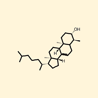 CC(C)CCCC(C)[C@H]1CC[C@H]2C3=CCC4[C@H](C)[C@@H](O)CC[C@]4(C)[C@H]3CC[C@]12C